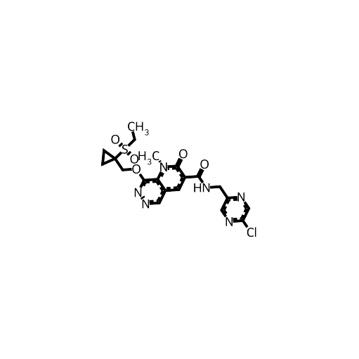 CCS(=O)(=O)C1(COc2nncc3cc(C(=O)NCc4cnc(Cl)cn4)c(=O)n(C)c23)CC1